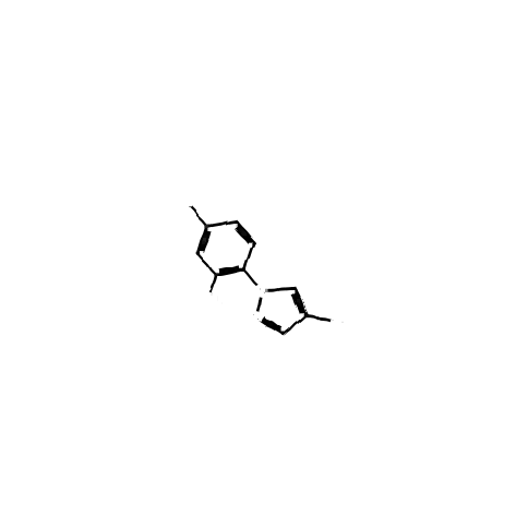 Cc1cc(Cl)ccc1-n1cc(O)cn1